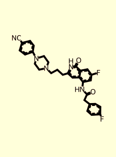 N#Cc1ccc(N2CCN(CCCc3cc4c(NC(=O)Cc5ccc(F)cc5)cc(F)cc4c(=O)[nH]3)CC2)cc1